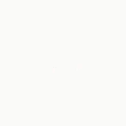 C=CCSSC=CC[S+]([O-])CC=C.C=CCS[S+]([O-])CC=C